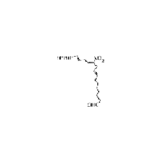 CCCCC/C=C/C/C=C(/C/C=C/CCCCCC[C]=O)[N+](=O)[O-]